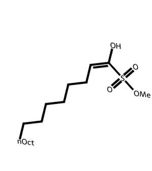 CCCCCCCCCCCCCCC=C(O)S(=O)(=O)OC